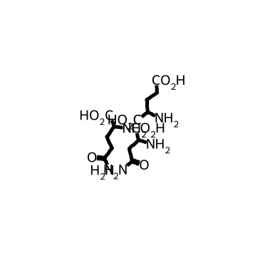 NC(=O)CC(N)C(=O)O.NC(=O)CCC(N)C(=O)O.NC(CCC(=O)O)C(=O)O